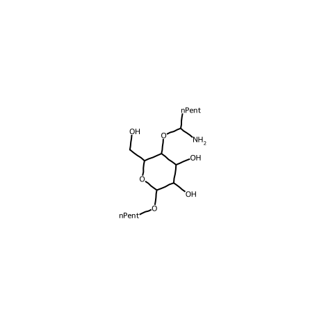 CCCCCOC1OC(CO)C(OC(N)CCCCC)C(O)C1O